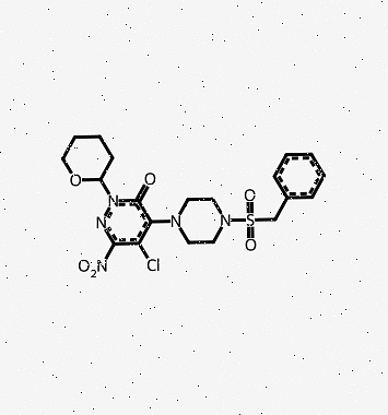 O=c1c(N2CCN(S(=O)(=O)Cc3ccccc3)CC2)c(Cl)c([N+](=O)[O-])nn1C1CCCCO1